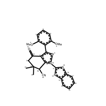 COc1cccc(OC)c1-c1nn(-c2nc3ccccc3s2)c2c1C(=O)CC(C)(C)C2C#N